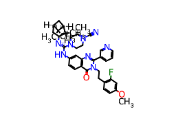 COc1ccc(CCn2c(-c3cccnc3)nc3cc(N/C(=N/C4C[C@H]5C[C@@H]([C@@H]4C)C5(C)C)N4CCN(C#N)[C@@H](C)C4)ccc3c2=O)c(F)c1